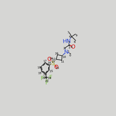 CN(CC(=O)NC(C)(C)C)[C@H]1C[C@H](S(=O)(=O)c2cccc(C(F)(F)F)c2)C1